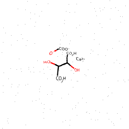 O=C(O)C(O)C(O)C(=O)O.O=C([O-])[O-].[Ca+2]